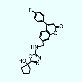 O=c1cc(-c2ccc(F)cc2)c2ccc(CNc3nnc(C4(O)CCCC4)o3)cc2o1